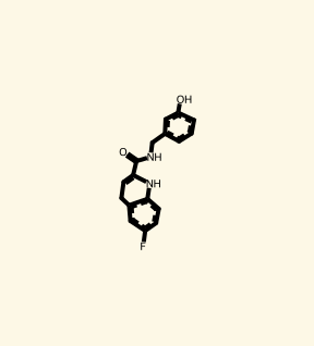 O=C(NCc1cccc(O)c1)C1=CCc2cc(F)ccc2N1